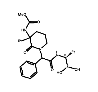 CC[C@H](NC(=O)C(c1ccccc1)N1CCCC(NC(=O)OC)(C(C)C)C1=O)B(O)O